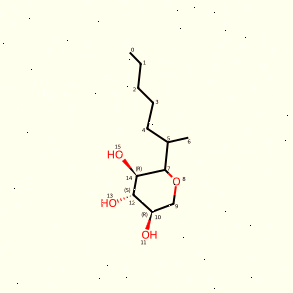 CCCCCC(C)C1OC[C@@H](O)[C@H](O)[C@H]1O